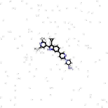 Cc1cc(-c2[nH]c3cc(-c4ccc(N5CC[C@@H](N)C5)nc4)ccc3c2C2CC2)cc(C)n1